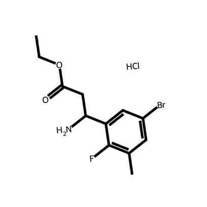 CCOC(=O)CC(N)c1cc(Br)cc(C)c1F.Cl